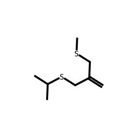 C=C(CSC)CSC(C)C